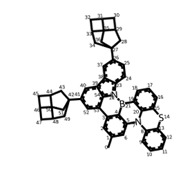 Cc1cc2c3c(c1)N1c4ccccc4Sc4cccc(c41)B3n1c3ccc(C45CC6CC7CC(C4)C76C5)cc3c3cc(C45CC6CC7CC(C4)C76C5)cc-2c31